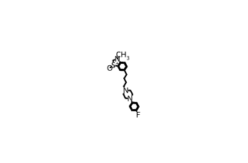 CN1C[S+]([O-])c2cc(CCCCN3CCN(c4ccc(F)cc4)CC3)ccc21